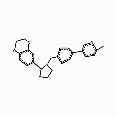 Cc1ccc(-c2ccc(CN3CCCC3c3ccc4c(c3)OCCO4)cc2)cn1